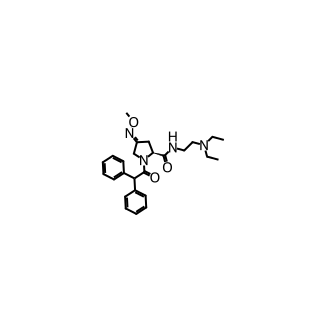 CCN(CC)CCNC(=O)[C@@H]1C/C(=N\OC)CN1C(=O)C(c1ccccc1)c1ccccc1